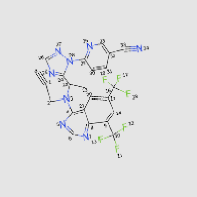 C#CCN(c1ncnc2c(C(F)(F)F)cc(C(F)(F)F)cc12)C(C)c1ncnn1-c1ccc(C#N)cn1